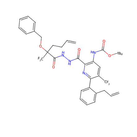 C=CCCC(OCc1ccccc1)(C(=O)NNC(=O)c1nc(-c2ccccc2CC=C)c(C(F)(F)F)cc1NC(=O)OC(C)(C)C)C(F)(F)F